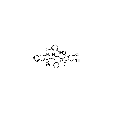 CC(C)c1cccc(C(C)C)c1N1C(=CC=C2C(=O)c3cc(Cl)c(Cl)cc3C2=O)N(c2c(C(C)C)cccc2C(C)C)c2nc3cc4ccccc4cc3nc21